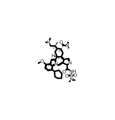 COc1ccc(C2CCCCC2)c2c1cc1n2C=C2C(=C3C[C@@H](C(=O)N(C)C)C([C@H](C)CN(C)C)C[C@H]31)C=NC2C(=O)NS(=O)(=O)N(C)C